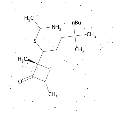 CCCCC(C)(C)CCC(SC(C)N)[C@]1(C)C[C@H](C)C1=O